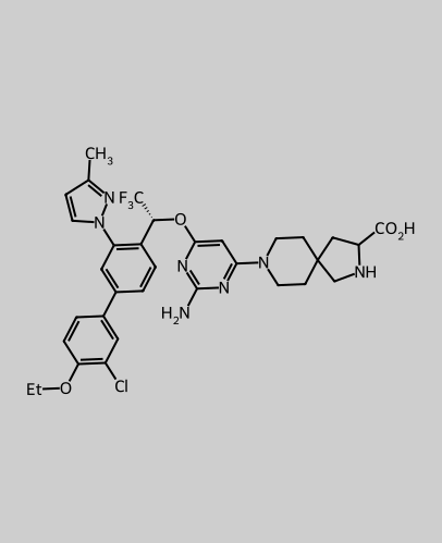 CCOc1ccc(-c2ccc([C@@H](Oc3cc(N4CCC5(CC4)CNC(C(=O)O)C5)nc(N)n3)C(F)(F)F)c(-n3ccc(C)n3)c2)cc1Cl